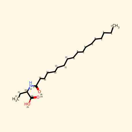 CCCCCCCCCCCCCCCCCC(=O)NC(CC)C(=O)O